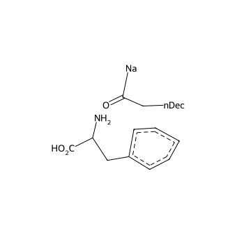 CCCCCCCCCCC[C](=O)[Na].NC(Cc1ccccc1)C(=O)O